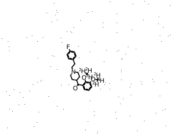 [2H]C([2H])([2H])Oc1cccc(C(=O)C2CCN(CCc3ccc(F)cc3)CC2)c1OC([2H])([2H])[2H]